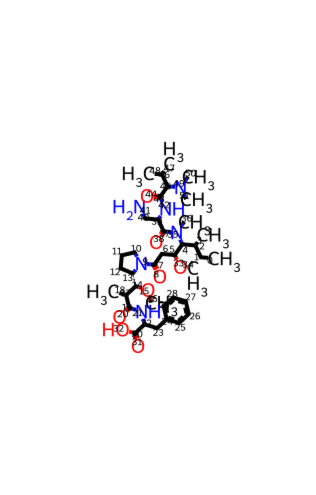 CCC(C)C(C(CC(=O)N1CCC[C@H]1C(OC)C(C)C(=O)NC(Cc1ccccc1)C(=O)O)OC)N(C)C(=O)C(CN)NC(=O)C(C(C)C)N(C)C